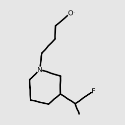 CC(F)C1CCCN(CCC[O])C1